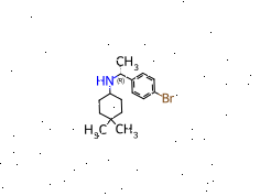 C[C@@H](NC1CCC(C)(C)CC1)c1ccc(Br)cc1